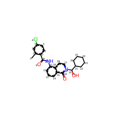 Cc1cc(Cl)ccc1C(=O)Nc1cccc2c(=O)n(C(O)C3CCCCC3)ccc12